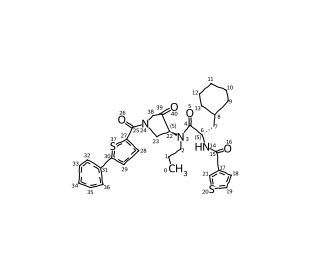 CCCN(C(=O)[C@H](CC1CCCCC1)NC(=O)c1ccsc1)[C@H]1CN(C(=O)c2ccc(-c3ccccc3)s2)CC1=O